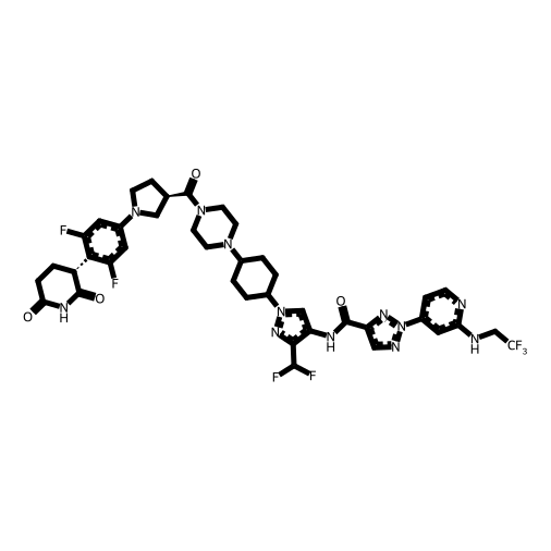 O=C1CC[C@H](c2c(F)cc(N3CC[C@@H](C(=O)N4CCN(C5CCC(n6cc(NC(=O)c7cnn(-c8ccnc(NCC(F)(F)F)c8)n7)c(C(F)F)n6)CC5)CC4)C3)cc2F)C(=O)N1